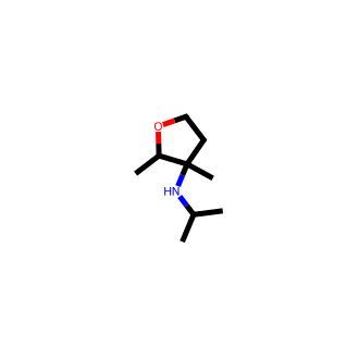 CC(C)NC1(C)CCOC1C